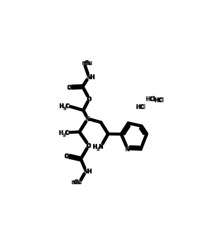 CCCCNC(=O)OC(C)N(CC(N)c1ccccn1)C(C)OC(=O)NCCCC.Cl.Cl.Cl